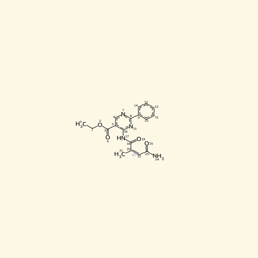 CCOC(=O)c1cnc(-c2ccccc2)nc1NC(=O)/C(C)=C\C(N)=O